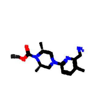 Cc1ccc(N2C[C@@H](C)N(C(=O)OC(C)(C)C)[C@@H](C)C2)nc1CN